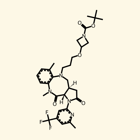 Cc1cc(C(F)(F)F)cc(N2C(=O)C[C@@H]3CN(CCCOC4CN(C(=O)OC(C)(C)C)C4)c4c(C)cccc4N(C)C(=O)[C@H]32)n1